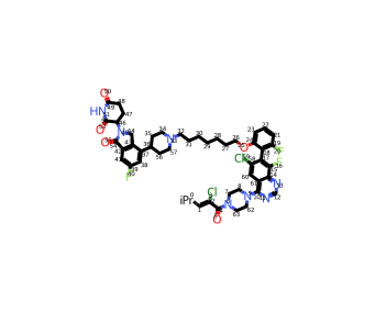 CC(C)/C=C(\Cl)C(=O)N1CCN(c2ncnc3c(F)c(-c4c(F)cccc4OCCCCCCCN4CCC(c5cc(F)cc6c5CN(C5CCC(=O)NC5=O)C6=O)CC4)c(Cl)cc23)CC1